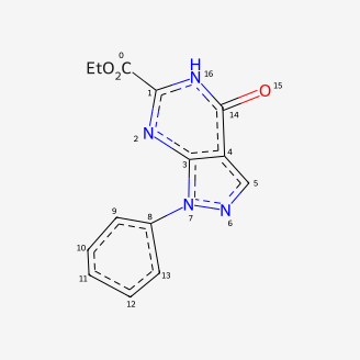 CCOC(=O)c1nc2c(cnn2-c2ccccc2)c(=O)[nH]1